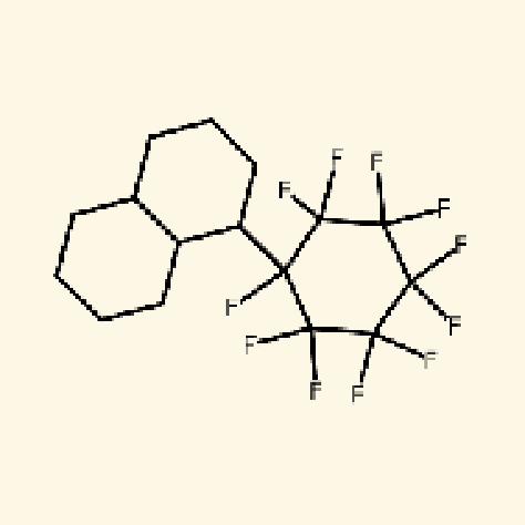 FC1(F)C(F)(F)C(F)(F)C(F)(C2CCCC3CCCCC32)C(F)(F)C1(F)F